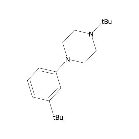 CC(C)(C)c1cccc(N2CCN(C(C)(C)C)CC2)c1